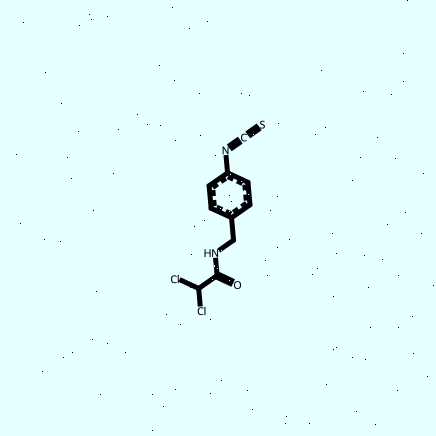 O=C(NCc1ccc(N=C=S)cc1)C(Cl)Cl